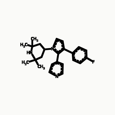 CC1(C)CC(n2ccc(-c3ccc(F)cc3)c2-c2ccncc2)CC(C)(C)N1